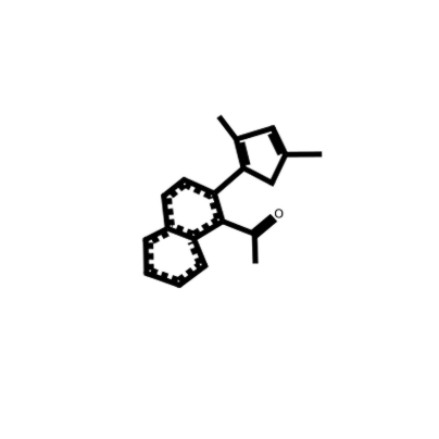 CC(=O)c1c(C2=C(C)C=C(C)C2)ccc2ccccc12